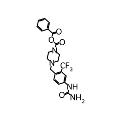 NC(=O)Nc1ccc(CN2CCN(C(=O)OC(=O)c3ccccc3)CC2)c(C(F)(F)F)c1